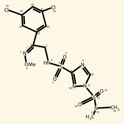 CO/N=C(\CNS(=O)(=O)c1ncn(S(=O)(=O)N(C)C)n1)c1cc(Cl)cc(Cl)c1